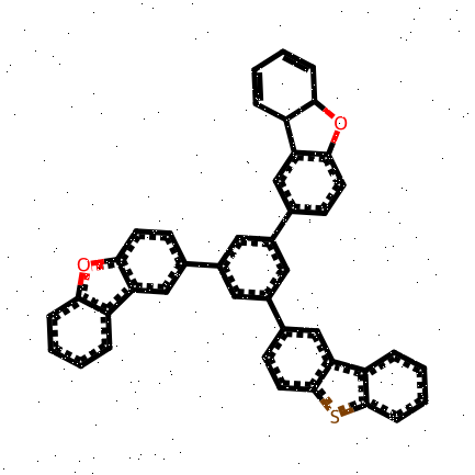 C1=CC2Oc3ccc(-c4cc(-c5ccc6oc7ccccc7c6c5)cc(-c5ccc6sc7ccccc7c6c5)c4)cc3C2C=C1